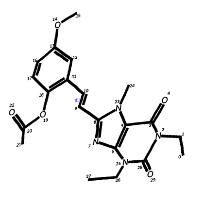 CCn1c(=O)c2c(nc(/C=C/c3cc(OC)ccc3OC(C)=O)n2C)n(CC)c1=O